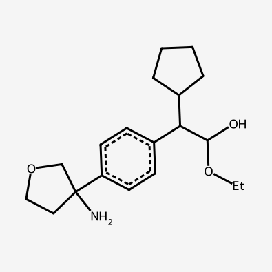 CCOC(O)C(c1ccc(C2(N)CCOC2)cc1)C1CCCC1